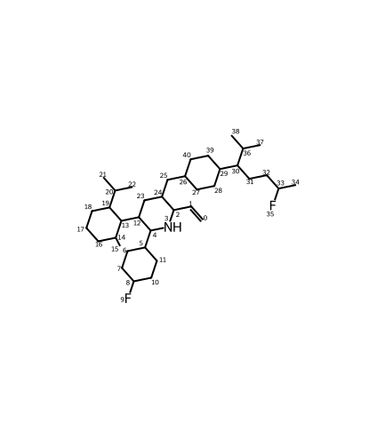 C=CC1NC(C2CCC(F)CC2)C(C2C(C)CCCC2C(C)C)CC1CC1CCC(C(CCC(C)F)C(C)C)CC1